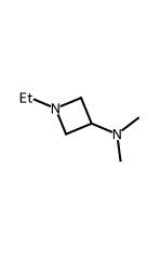 CCN1CC(N(C)C)C1